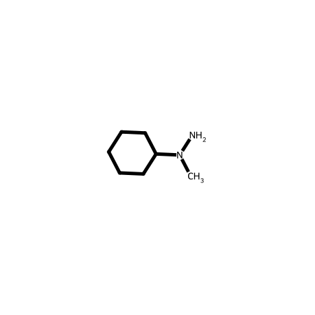 CN(N)C1CCCCC1